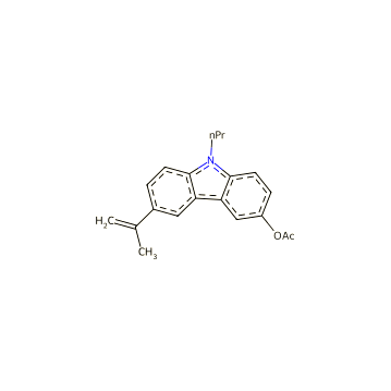 C=C(C)c1ccc2c(c1)c1cc(OC(C)=O)ccc1n2CCC